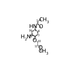 CCC(=O)Nc1ccc(OCCOC)c(N)c1